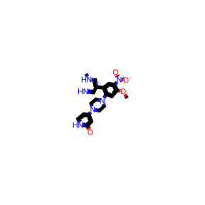 CN/C=C(\C=N)c1cc([N+](=O)[O-])c(OC)cc1N1CCN(c2cc[nH]c(=O)c2)CC1